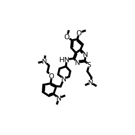 COc1cc2nc(SCCN(C)C)nc(NC3CCN(Cc4c(OCCN(C)C)cccc4N(C)C)CC3)c2cc1OC